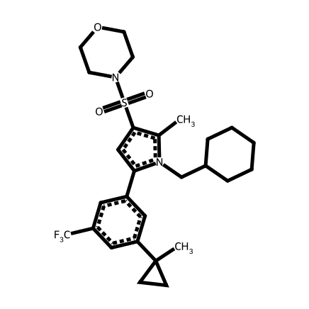 Cc1c(S(=O)(=O)N2CCOCC2)cc(-c2cc(C(F)(F)F)cc(C3(C)CC3)c2)n1CC1CCCCC1